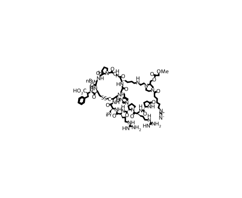 CCCC[C@@H]1NC(=O)[C@@H]2CCCN2C(=O)CNC(=O)[C@H](CCCCNCCN2CCN(C(=O)CCCCCN=[N+]=[N-])CC2COC(=O)COC)NC(=O)[C@H](Cc2cnc[nH]2)NC(=O)[C@@H](NC(=O)[C@H](CC(C)C)NC(=O)[C@H](CCCNC(=N)N)NC(=O)[C@@H]2CCCN2C(=O)[C@H](CCCNC(=N)N)NC(=O)[C@@H]2CCC(=O)N2)CSSC[C@@H](C(=O)N[C@@H](Cc2ccccc2)C(=O)O)NC1=O